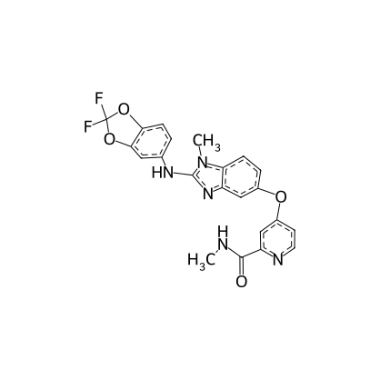 CNC(=O)c1cc(Oc2ccc3c(c2)nc(Nc2ccc4c(c2)OC(F)(F)O4)n3C)ccn1